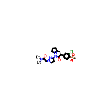 CCN(CC)C(=O)CN1CCC(NC(=O)[C@H](CC2CCCC2)c2ccc(S(C)(=O)=O)c(Cl)c2)=N1